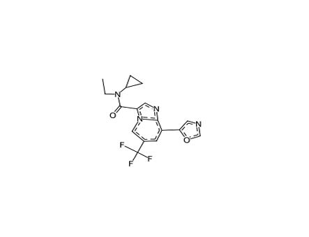 CCN(C(=O)c1cnc2c(-c3cnco3)cc(C(F)(F)F)cn12)C1CC1